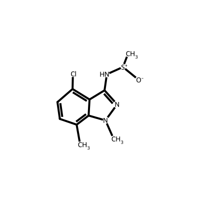 Cc1ccc(Cl)c2c(N[S+](C)[O-])nn(C)c12